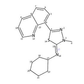 Cn1nc(-c2cccc3cccnc23)s/c1=N\C1CCCCC1